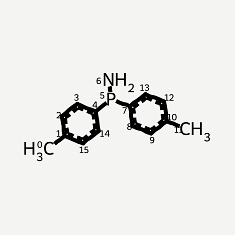 Cc1ccc(P(N)c2ccc(C)cc2)cc1